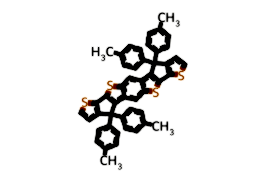 Cc1ccc(C2(c3ccc(C)cc3)c3ccsc3-c3sc4cc5c6c(sc5cc4c32)-c2sccc2C6(c2ccc(C)cc2)c2ccc(C)cc2)cc1